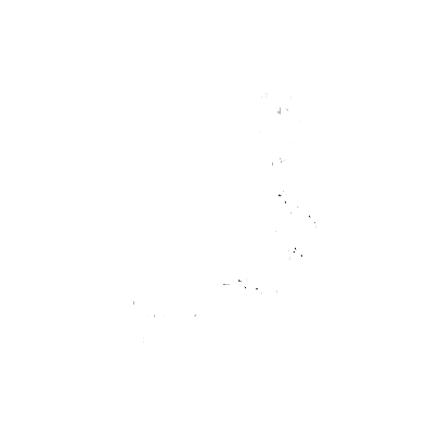 CC(OS(C)(=O)=O)C1CCC(n2cc(-c3ncnc4c3ccn4COCC[Si](C)(C)C)cn2)CC1